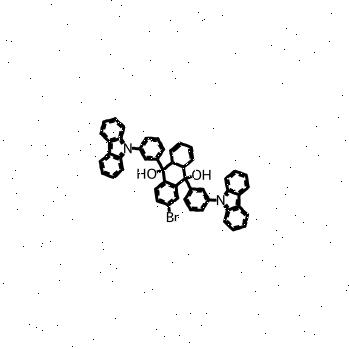 OC1(c2cccc(-n3c4ccccc4c4ccccc43)c2)c2ccc(Br)cc2C(O)(c2cccc(-n3c4ccccc4c4ccccc43)c2)C2C=CC=CC21